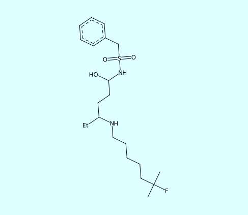 CCC(CCC(O)NS(=O)(=O)Cc1ccccc1)NCCCCCC(C)(C)F